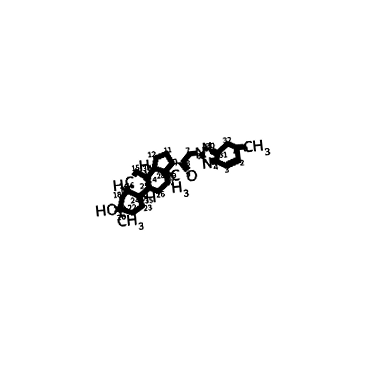 CC1C=Cc2nn(CC(=O)[C@H]3CCC4[C@@H]5CC[C@@H]6C[C@](C)(O)CC[C@@H]6C5CC[C@@]43C)nc2C1